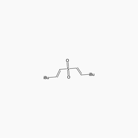 CCC(C)C=CS(=O)(=O)C=CC(C)CC